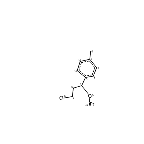 Cc1ccc(C(CCCl)OC(C)C)cc1